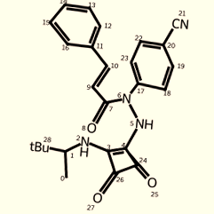 CC(Nc1c(NN(C(=O)/C=C/c2ccccc2)c2ccc(C#N)cc2)c(=O)c1=O)C(C)(C)C